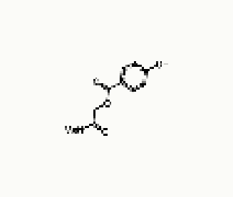 CNC(=O)COC(=O)c1ccc(O)cc1